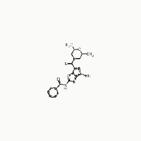 CC1CN(C(=O)c2nn(C(C)(C)C)c3nc(NC(=O)c4ccccc4)sc23)CC(C)O1